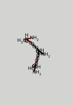 CCC(=O)NC(CCCCN)C(=O)CCCOCCOCCOCCOCCC(=O)NC(CCCCN)C(=O)NCCOCCOCCOCCOCCC(=O)NC(CCCCN)C(=O)O